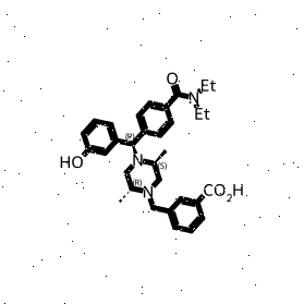 CCN(CC)C(=O)c1ccc([C@H](c2cccc(O)c2)N2C[C@@H](C)N(Cc3cccc(C(=O)O)c3)C[C@@H]2C)cc1